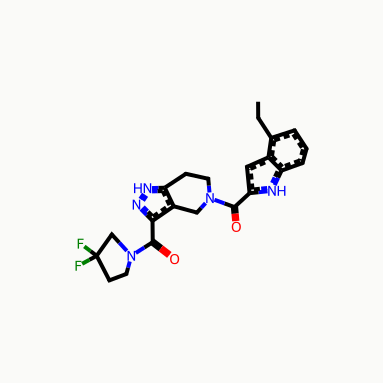 CCc1cccc2[nH]c(C(=O)N3CCc4[nH]nc(C(=O)N5CCC(F)(F)C5)c4C3)cc12